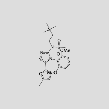 COc1cccc(OC)c1-n1c(-c2ccc(C)o2)nnc1N(CC[Si](C)(C)C)S(C)(=O)=O